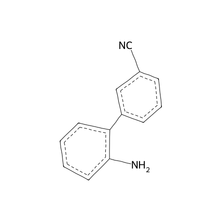 N#Cc1cccc(-c2ccccc2N)c1